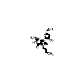 CCCCn1c(=O)n([C@@H]2O[C@H](CO)C[C@H]2O)c2nc(N)[nH]c(=O)c21